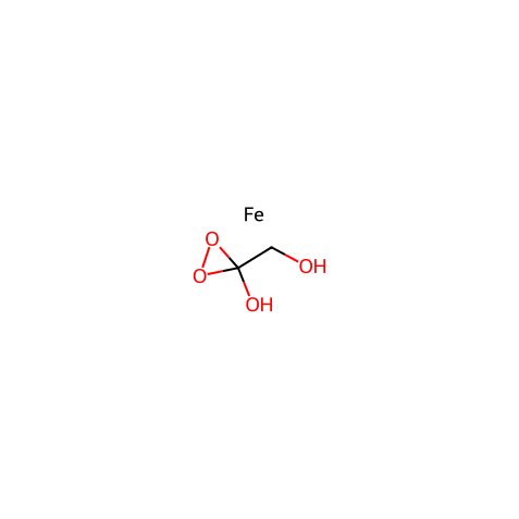 OCC1(O)OO1.[Fe]